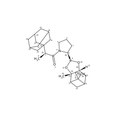 C[C@H](C(=O)N1CCC[C@H]1B1O[C@@H]2CC3CC(C3(C)C)[C@]2(C)O1)C12CC3CC(CC(C3)C1)C2